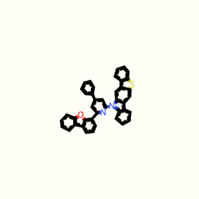 c1ccc(-c2cc(-c3cccc4c3oc3ccccc34)nc(-n3c4ccccc4c4cc5sc6ccccc6c5cc43)c2)cc1